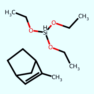 CC1=CC2CCC1C2.CCO[SiH](OCC)OCC